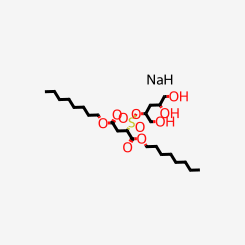 CCCCCCCCOC(=O)CC(C(=O)OCCCCCCCC)S(=O)(=O)OC(CO)CC(O)CO.[NaH]